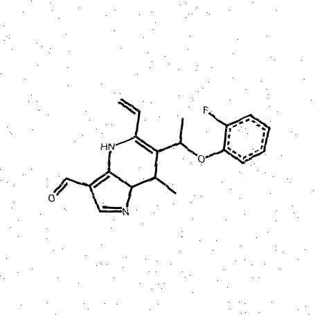 C=CC1=C(C(C)Oc2ccccc2F)C(C)C2N=CC(C=O)=C2N1